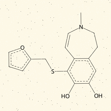 CN1C=Cc2c(cc(O)c(O)c2SCc2ccco2)CC1